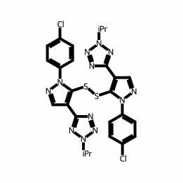 CC(C)n1nnc(-c2cnn(-c3ccc(Cl)cc3)c2SSc2c(-c3nnn(C(C)C)n3)cnn2-c2ccc(Cl)cc2)n1